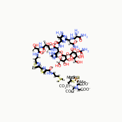 CCOC(=O)CC(SP(=S)(OC)OC)C(=O)OCC.Cc1c(N)nc([C@H](CC(N)=O)NC[C@H](N)C(N)=O)nc1C(=O)N[C@H](C(=O)N[C@H](C)[C@@H](O)[C@H](C)C(=O)N[C@H](C(=O)NCCc1nc(-c2nc(C(=O)NCCC[S+](C)C)cs2)cs1)[C@@H](C)O)[C@@H](O[C@@H]1O[C@@H](CO)[C@@H](O)[C@H](O)[C@@H]1O[C@H]1O[C@H](CO)[C@@H](O)[C@H](OC(N)=O)[C@@H]1O)c1cnc[nH]1.O=C([O-])CN(CC(=O)[O-])CC(=O)[O-].[Fe+3]